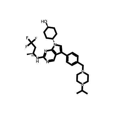 CC(C)N1CCN(Cc2ccc(-c3cn([C@H]4CC[C@H](O)CC4)c4nc(N[C@@H](C)CC(F)(F)F)ncc34)cc2)CC1